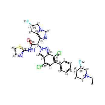 CCN1CC[C@H](c2ccc(-c3cc(Cl)c4cn(C(C(=O)Nc5nccs5)c5ncn6c5C[C@@H](F)C6)nc4c3Cl)cc2)[C@@H](F)C1